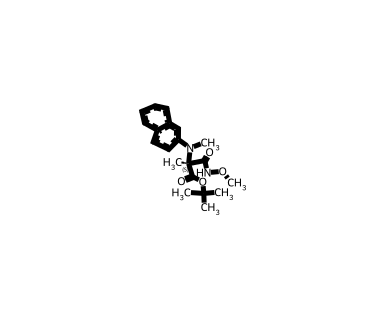 CONC(=O)[C@@](C)(C(=O)OC(C)(C)C)N(C)c1ccc2ccccc2c1